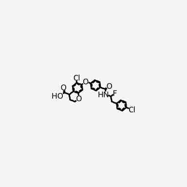 O=C(NC(F)Cc1ccc(Cl)cc1)c1ccc(Oc2cc3c(cc2Cl)C(C(=O)O)CCO3)cc1